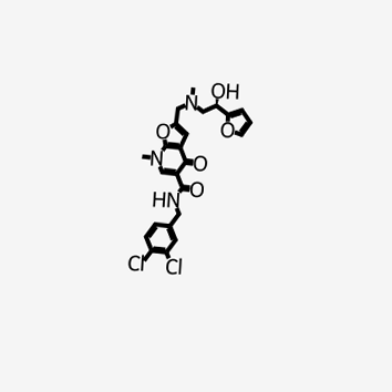 CN(Cc1cc2c(=O)c(C(=O)NCc3ccc(Cl)c(Cl)c3)cn(C)c2o1)C[C@@H](O)c1ccco1